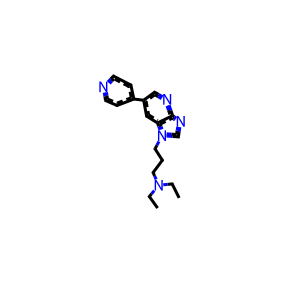 CCN(CC)CCCn1cnc2ncc(-c3ccncc3)cc21